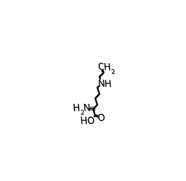 C=CCNCCCC[C@H](N)C(=O)O